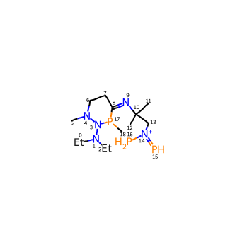 CCN(CC)N1N(C)CCC(=NC(C)(C)C[N+](=P)P)P1C